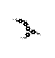 COc1ccc(Nc2ccc(-c3ccc(N(c4ccc(OC)cc4)c4ccc(OC)cc4)cc3)cc2)cc1